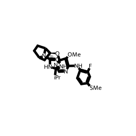 COc1c(Nc2ccc(SC)cc2F)ncnc1O[C@H]1CC2CCC1N2C(=O)NC(=N)C(C)C